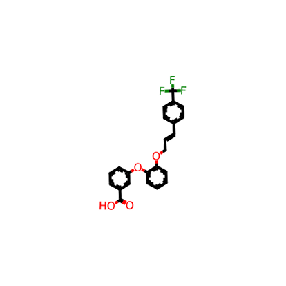 O=C(O)c1cccc(Oc2ccccc2OC/C=C/c2ccc(C(F)(F)F)cc2)c1